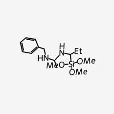 CCC(NC(C)NCc1ccccc1)[Si](OC)(OC)OC